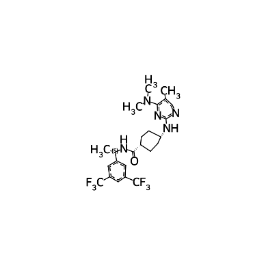 Cc1cnc(N[C@H]2CC[C@@H](C(=O)N[C@@H](C)c3cc(C(F)(F)F)cc(C(F)(F)F)c3)CC2)nc1N(C)C